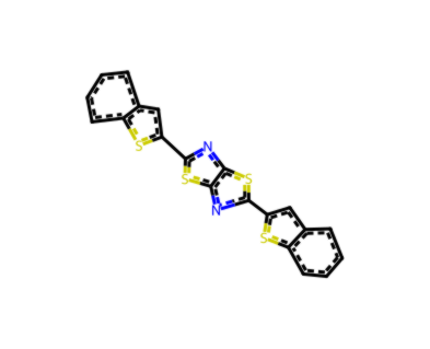 c1ccc2sc(-c3nc4sc(-c5cc6ccccc6s5)nc4s3)cc2c1